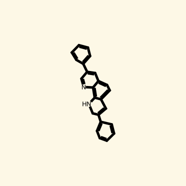 C1=C(c2ccccc2)CNc2c1ccc1cc(-c3ccccc3)cnc21